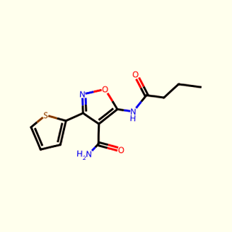 CCCC(=O)Nc1onc(-c2cccs2)c1C(N)=O